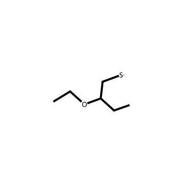 CCOC(CC)C[S]